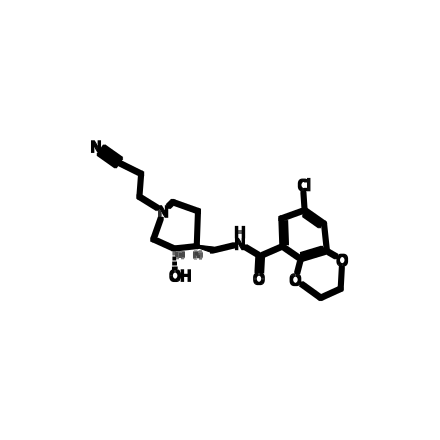 N#CCCN1CC[C@@H](CNC(=O)c2cc(Cl)cc3c2OCCO3)[C@H](O)C1